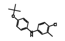 Cc1cc(Nc2ccc(OC(C)(C)C)cc2)ccc1Cl